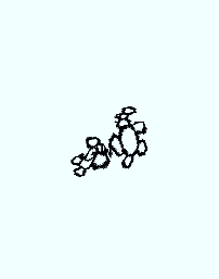 c1ccc(N(c2ccc3c(c2)c2ccccc2c2ccccc2c2ccccc2c2cc4c(cc32)sc2ccccc24)c2cccc3c2Oc2ccccc2-c2ccccc2-3)cc1